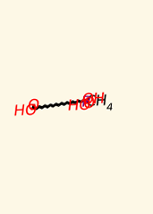 C.O=C(O)CCCCCCCCCCCCCCCCCCP(=O)(O)O